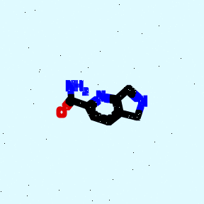 NC(=O)c1ccc2c(n1)C=NC2